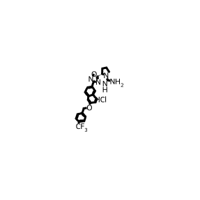 Cl.N=C(N)N1CCC[C@H]1c1nc(-c2ccc3cc(OCc4ccc(C(F)(F)F)cc4)ccc3c2)no1